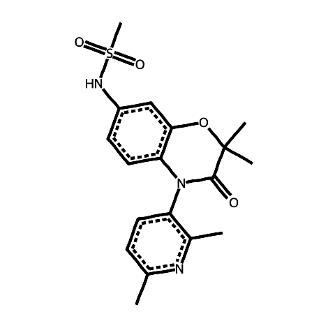 Cc1ccc(N2C(=O)C(C)(C)Oc3cc(NS(C)(=O)=O)ccc32)c(C)n1